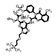 Cc1cccc2nc(C(C)Nc3nc(N(OC(C)(C)C)C(=O)OC(C)(C)C)nc4c3ncn4COCC[Si](C)(C)C)n(-c3cccc(OS(=O)(=O)C(F)(F)F)c3)c(=O)c12